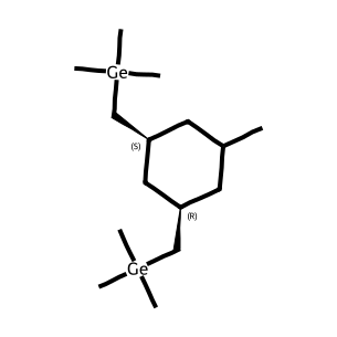 CC1C[C@@H]([CH2][Ge]([CH3])([CH3])[CH3])C[C@@H]([CH2][Ge]([CH3])([CH3])[CH3])C1